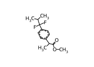 COC(=O)C(C)c1ccc(C(F)(F)C(C)C)cc1